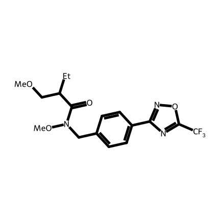 CCC(COC)C(=O)N(Cc1ccc(-c2noc(C(F)(F)F)n2)cc1)OC